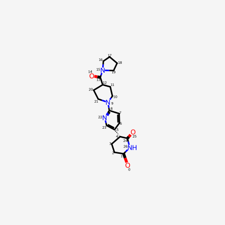 O=C1CC[C@H](c2ccc(N3CCC(C(=O)N4CCCC4)CC3)nc2)C(=O)N1